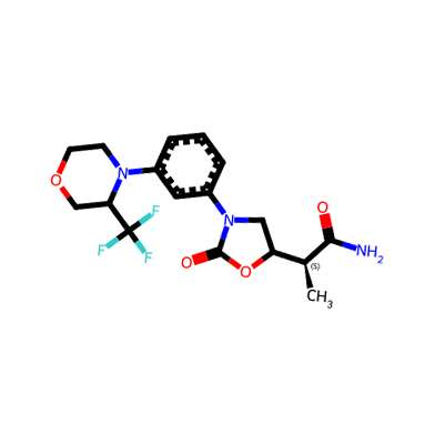 C[C@H](C(N)=O)C1CN(c2cccc(N3CCOCC3C(F)(F)F)c2)C(=O)O1